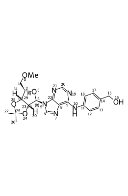 COC[C@H]1O[C@@H](n2cnc3c(Nc4ccc(CO)cc4)ncnc32)[C@@H]2OC(C)(C)O[C@@H]21